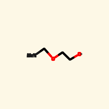 CNCOCC[O]